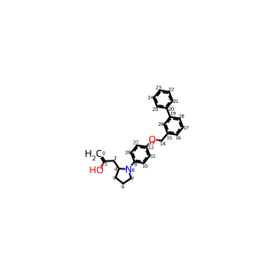 C=C(O)CC1CCCN1c1ccc(OCc2cccc(-c3ccccc3)c2)cc1